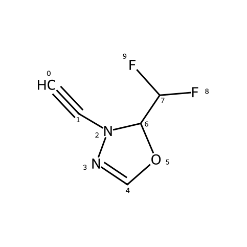 C#CN1N=COC1C(F)F